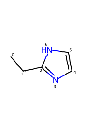 C[CH]c1ncc[nH]1